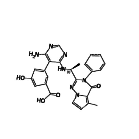 Cc1ccn2nc([C@H](C)Nc3ncnc(N)c3-c3cc(O)cc(C(=O)O)c3)n(-c3ccccc3)c(=O)c12